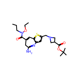 CCCN(OCC)C(=O)C1=Cc2sc(CN3CC(C(=O)OC(C)(C)C)C3)cc2N=C(N)C1